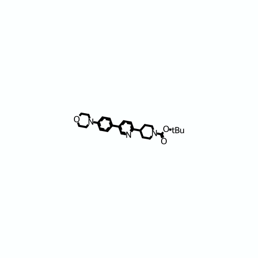 CC(C)(C)OC(=O)N1CCC(c2ccc(-c3ccc(N4CCOCC4)cc3)cn2)CC1